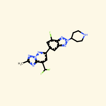 Cc1nc2c(C(F)F)cc(-c3cc(F)c4nn(C5CCNCC5)nc4c3)nn2n1